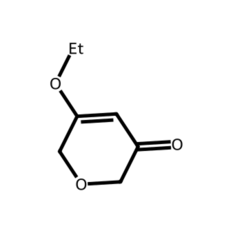 CCOC1=CC(=O)COC1